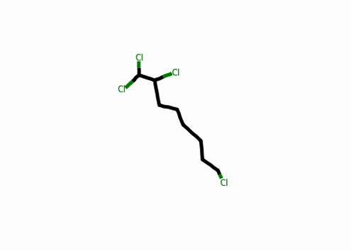 ClCCCCCCC(Cl)C(Cl)Cl